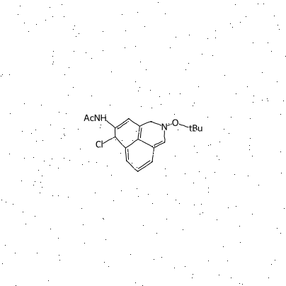 CC(=O)NC1=CC2=c3c(cccc3=CN(OC(C)(C)C)C2)C1Cl